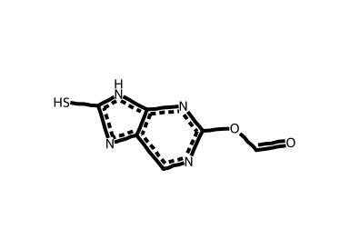 O=COc1ncc2nc(S)[nH]c2n1